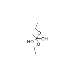 CCOP(C)(O)(O)OCC